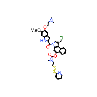 COc1cc2c(cc1OCCN(C)C)CC(C(=O)N1C[C@@H](CCl)c3c1cc(OC(=O)N(C)CCSSc1ccccn1)c1ccccc31)N2